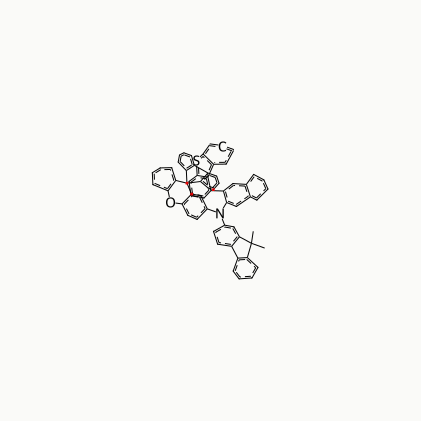 CC1(C)c2ccccc2-c2ccc(N(c3ccc4c(c3)C3(c5ccccc5O4)c4ccccc4-c4ccccc43)c3cc4ccccc4cc3-c3cccc4sc5ccccc5c34)cc21